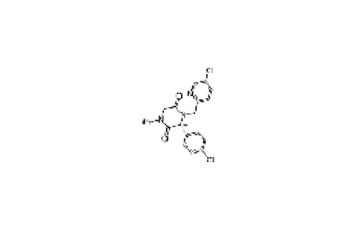 CC(C)N1CC(=O)N(Cc2ccc(Cl)cn2)[C@H](c2ccc(Cl)cc2)C1=O